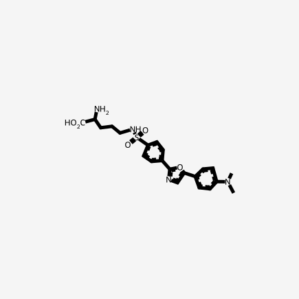 CN(C)c1ccc(-c2cnc(-c3ccc(S(=O)(=O)NCCCC(N)C(=O)O)cc3)o2)cc1